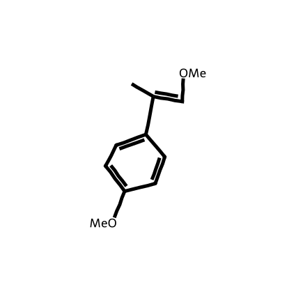 CO/C=C(\C)c1ccc(OC)cc1